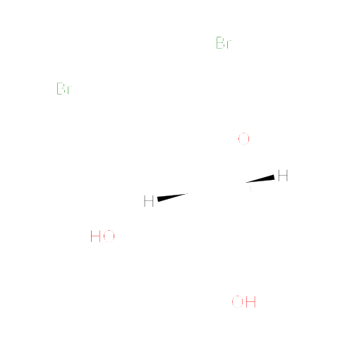 OCC1C(O)C[C@H]2Oc3c(Br)cc(Br)cc3[C@@H]12